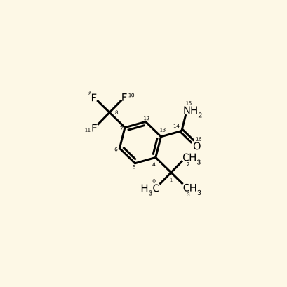 CC(C)(C)c1ccc(C(F)(F)F)cc1C(N)=O